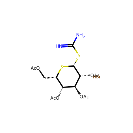 Br.CC(=O)OC[C@@H]1S[C@H](SC(=N)N)[C@H](OC(C)=O)[C@@H](OC(C)=O)[C@@H]1OC(C)=O